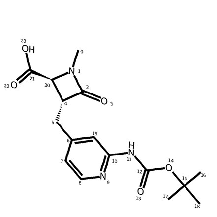 CN1C(=O)[C@H](Cc2ccnc(NC(=O)OC(C)(C)C)c2)[C@H]1C(=O)O